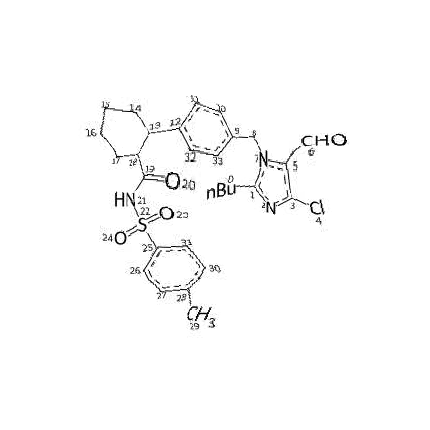 CCCCc1nc(Cl)c(C=O)n1Cc1ccc(C2CCCCC2C(=O)NS(=O)(=O)c2ccc(C)cc2)cc1